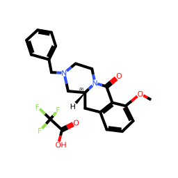 COc1cccc2c1C(=O)N1CCN(Cc3ccccc3)C[C@H]1C2.O=C(O)C(F)(F)F